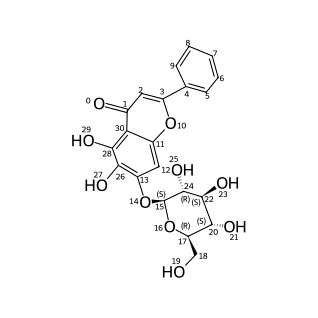 O=c1cc(-c2ccccc2)oc2cc(O[C@@H]3O[C@H](CO)[C@@H](O)[C@H](O)[C@H]3O)c(O)c(O)c12